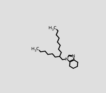 CCCCCCCCC(CCCCCC)Cn1cnc2c1CCCC2